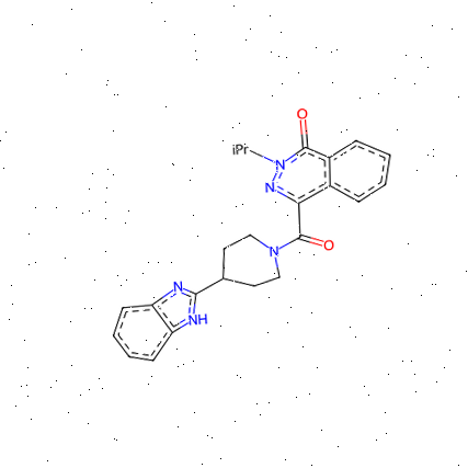 CC(C)n1nc(C(=O)N2CCC(c3nc4ccccc4[nH]3)CC2)c2ccccc2c1=O